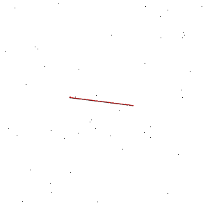 CCCCCCCCCCCCCCCCCCCCCCCCCCCCCCCCCCCCCCCCCCCCCCCCCCCCCCCCCCCCCCCCCCCCCCCCCCCCCCCCCCCCCCCCCCCCCCCCC(C)(C)C